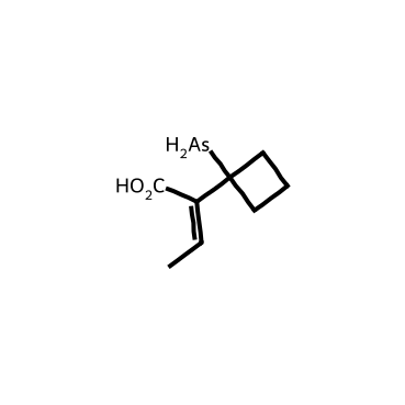 CC=C(C(=O)O)C1([AsH2])CCC1